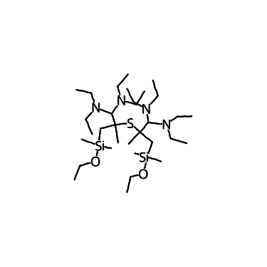 CCO[Si](C)(C)CC(C)(SC(C)(C[Si](C)(C)OCC)C(N(CC)CC)N(CC)CC)C(N(CC)CC)N(CC)CC